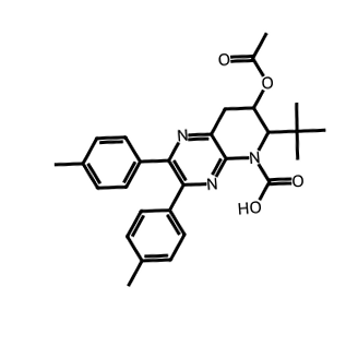 CC(=O)OC1Cc2nc(-c3ccc(C)cc3)c(-c3ccc(C)cc3)nc2N(C(=O)O)C1C(C)(C)C